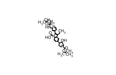 CCc1c(-c2ccnc(NC(=O)OC(C)(C)C)c2)n(C(=O)O)c2ccc(C3CCN(C(=O)OC(C)(C)C)CC3O)cc12